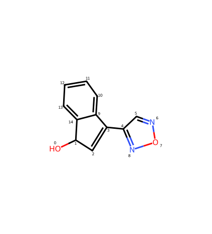 OC1C=C(c2cnon2)c2ccccc21